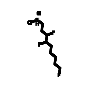 FCCCCCC(F)C(F)CC[SiH](Cl)Cl